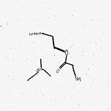 CCCCCCCCOC(=O)CS.[CH3][Sn]([CH3])[CH3]